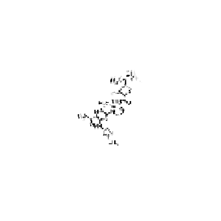 C[C@@H]1[C@H](NC(=O)c2ccc(C(C)(C)O)cc2F)CCCN1c1nnc(C(N)=O)c(Nc2cnn(C)c2)n1